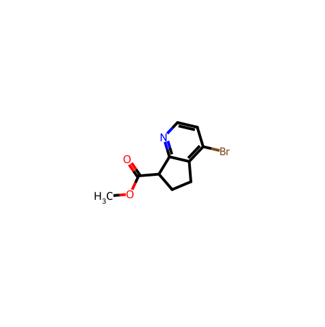 COC(=O)C1CCc2c(Br)ccnc21